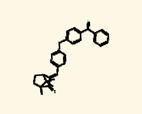 CC12CCC(C(=Cc3ccc(Cc4ccc(C(=O)c5ccccc5)cc4)cc3)C1=O)C2(C)C